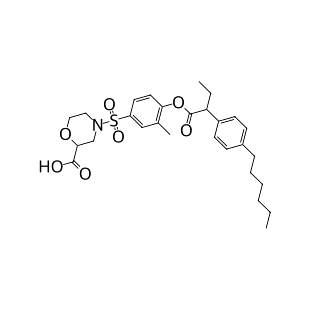 CCCCCCc1ccc(C(CC)C(=O)Oc2ccc(S(=O)(=O)N3CCOC(C(=O)O)C3)cc2C)cc1